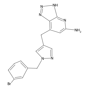 Nc1cc(Cc2cnn(Cc3cccc(Br)c3)c2)c2nn[nH]c2n1